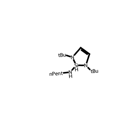 CCCCCN[SiH]1N(C(C)(C)C)C=CN1C(C)(C)C